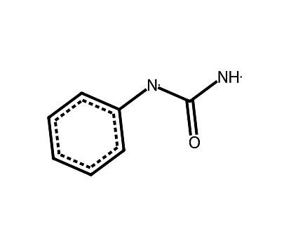 [NH]C(=O)[N]c1ccccc1